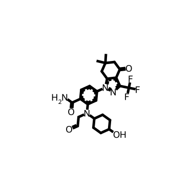 CC1(C)CC(=O)c2c(C(F)(F)F)nn(-c3ccc(C(N)=O)c(N(CC=O)C4CCC(O)CC4)c3)c2C1